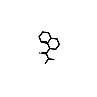 CC(C)C(=O)C1CCCC2CCCC=C21